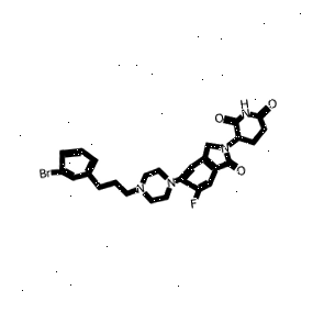 O=C1CCC(N2Cc3cc(N4CCN(CCCc5cccc(Br)c5)CC4)c(F)cc3C2=O)C(=O)N1